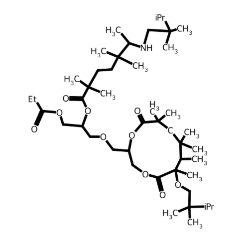 CCC(=O)OCC(COCC1COC(=O)C(C)(OCC(C)(C)C(C)C)C(C)C(C)(C)CC(C)(C)C(=O)O1)OC(=O)C(C)(C)CCC(C)(C)C(C)NCC(C)(C)C(C)C